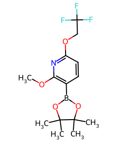 COc1nc(OCC(F)(F)F)ccc1B1OC(C)(C)C(C)(C)O1